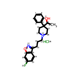 CC(O)C1(c2ccccc2)CCN(CCCc2noc3cc(F)ccc23)CC1.Cl